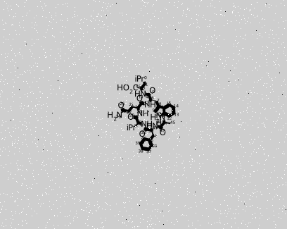 CC(C)C[C@H](NC(=O)[C@H](Cc1c[nH]c2ccccc12)NC(=O)[C@H](CCC(N)=O)NC(=O)[C@@H](NC(=O)[C@H](Cc1ccccc1)NC(=O)[C@H](C)N)C(C)C)C(=O)O